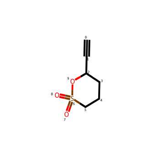 C#CC1CCCS(=O)(=O)O1